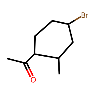 CC(=O)C1CCC(Br)CC1C